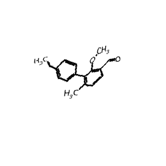 CCc1ccc(-c2c(C)ccc(C=O)c2OC)cc1